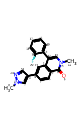 Cn1cc(-c2ccc3c(=O)n(C)cc(-c4c[c]ccc4F)c3c2)cn1